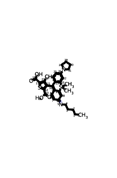 CCCCC/N=C1/C=CC2=C(c3c(C(=O)O)sc(C(=O)O)c3C)c3ccc(N4CCCC4)cc3[Si](C)(C)C2=C1